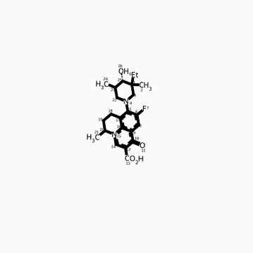 CCC1(C)CN(c2c(F)cc3c(=O)c(C(=O)O)cn4c3c2CCC4C)CC(C)[C@@H]1O